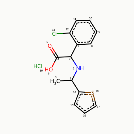 CC(NC(C(=O)O)c1ccccc1Cl)c1cccs1.Cl